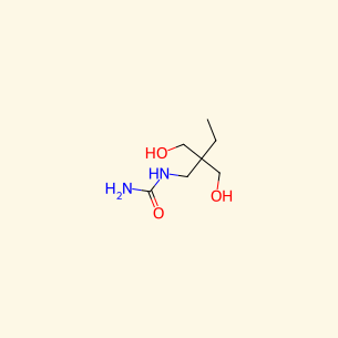 CCC(CO)(CO)CNC(N)=O